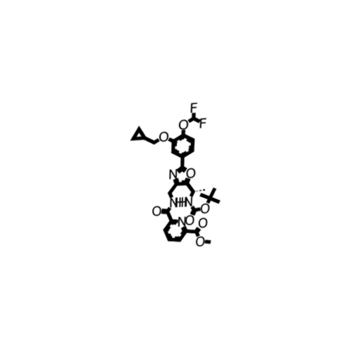 COC(=O)c1cccc(C(=O)NCc2nc(-c3ccc(OC(F)F)c(OCC4CC4)c3)oc2[C@H](C)NC(=O)OC(C)(C)C)n1